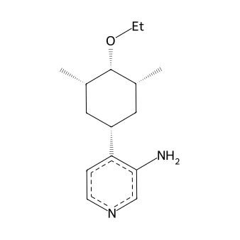 CCO[C@@H]1[C@H](C)C[C@H](c2ccncc2N)C[C@@H]1C